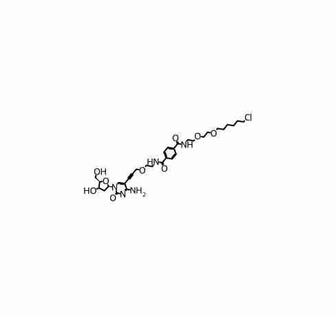 Nc1nc(=O)n([C@H]2CC(O)[C@@H](CO)O2)cc1C#CCOCCNC(=O)c1ccc(C(=O)NCCOCCOCCCCCCCl)cc1